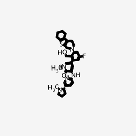 CN1CCC[C@H]1c1ccc(Nc2cc(-c3cc(F)cc(N4CCc5c(sc6c5CCCC6)C4)c3CO)cn(C)c2=O)nc1